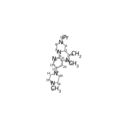 C=C1C2CN(C(C)C)CCN2c2ncc(N3CCN(C)CC3)cc2N1C